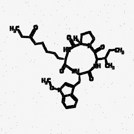 CCC(=O)CCCCC[C@@H]1NC(=O)[C@H]2CCCN2C(=O)C([C@H](C)CC)NC(=O)[C@H](Cc2cn(OC)c3ccccc23)NC1=O